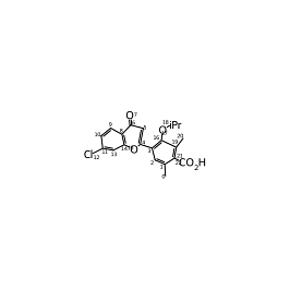 Cc1cc(-c2cc(=O)c3ccc(Cl)cc3o2)c(OC(C)C)c(C)c1C(=O)O